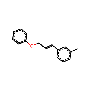 Cc1cccc(/C=C/COc2ccccc2)c1